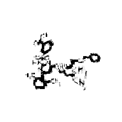 Cc1cccc(C)c1-c1cc(OCC(CC(C)C)NCCOCc2ccccc2)nc(NS(=O)(=O)c2cccc(C(=O)O)c2)n1